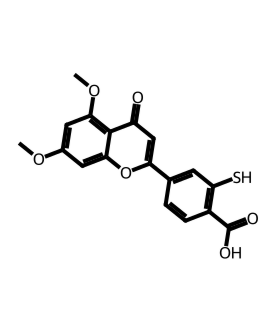 COc1cc(OC)c2c(=O)cc(-c3ccc(C(=O)O)c(S)c3)oc2c1